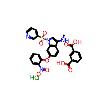 CNc1cn(S(=O)(=O)c2cccnc2)c2cc(Oc3ccccc3[N+](=O)[O-])ccc12.Cl.O=C(O)c1cccc(C(=O)O)c1